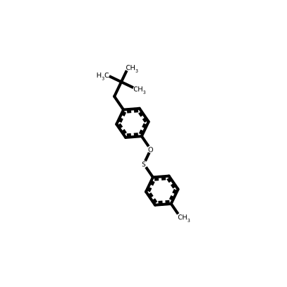 Cc1ccc(SOc2ccc(CC(C)(C)C)cc2)cc1